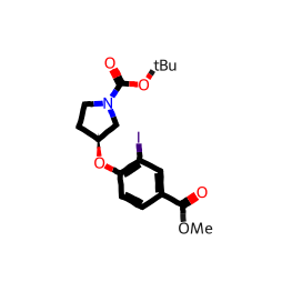 COC(=O)c1ccc(O[C@H]2CCN(C(=O)OC(C)(C)C)C2)c(I)c1